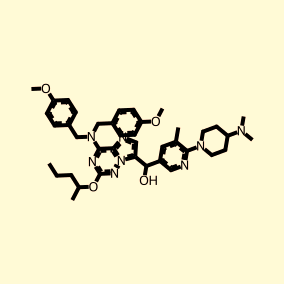 CCCC(C)Oc1nc(N(Cc2ccc(OC)cc2)Cc2ccc(OC)cc2)c2ncc(C(O)c3cnc(N4CCC(N(C)C)CC4)c(C)c3)n2n1